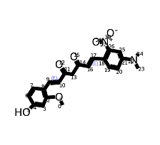 COc1cc(O)ccc1/C=C/C(=O)CC(=O)/C=C/c1ccc(N(C)C)cc1[N+](=O)[O-]